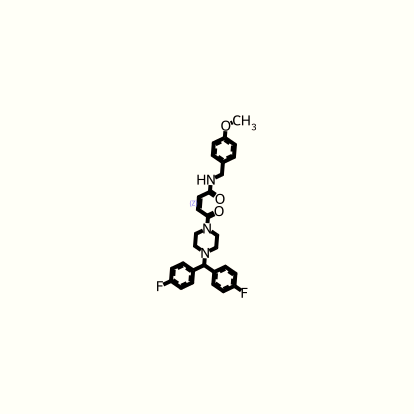 COc1ccc(CNC(=O)/C=C\C(=O)N2CCN(C(c3ccc(F)cc3)c3ccc(F)cc3)CC2)cc1